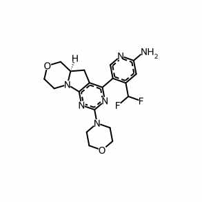 Nc1cc(C(F)F)c(-c2nc(N3CCOCC3)nc3c2C[C@@H]2COCCN32)cn1